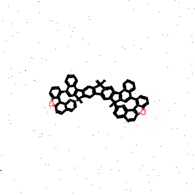 CC1(C)c2cc3c(cc2-c2cc4c(cc21)-c1c(cc(-c2cccc5oc6ccc7ccccc7c6c25)c2ccccc12)C4(C)C)C(C)(C)c1cc(-c2cccc4oc5ccc6ccccc6c5c24)c2ccccc2c1-3